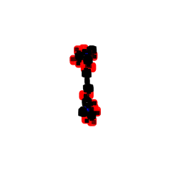 COc1cc(OC)c(C(=O)N(c2ccccc2)c2ccc(C(=O)Oc3ccc(C#Cc4ccc(OC(=O)c5ccc(N(C(=O)c6cc(OC)c(OC)cc6OC)c6ccccc6)c(OC)c5)cc4)cc3)cc2OC)cc1OC